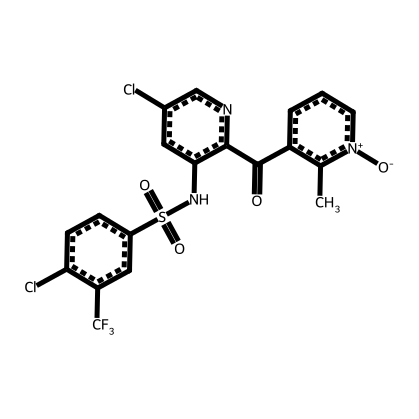 Cc1c(C(=O)c2ncc(Cl)cc2NS(=O)(=O)c2ccc(Cl)c(C(F)(F)F)c2)ccc[n+]1[O-]